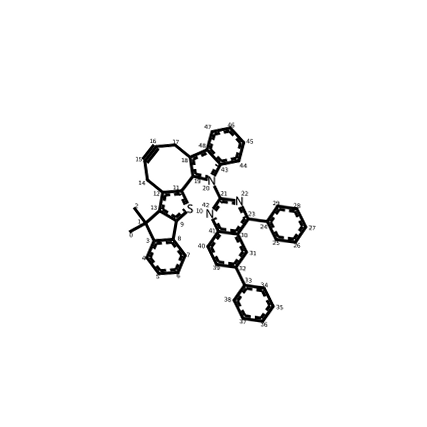 CC1(C)c2ccccc2-c2sc3c(c21)CC#CCc1c-3n(-c2nc(-c3ccccc3)c3cc(-c4ccccc4)ccc3n2)c2ccccc12